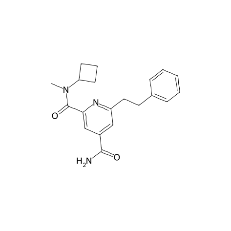 CN(C(=O)c1cc(C(N)=O)cc(CCc2ccccc2)n1)C1CCC1